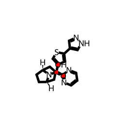 O=C(c1csc(-c2cn[nH]c2)c1)N1[C@@H]2CC[C@H]1C[C@](O)(c1ncccn1)C2